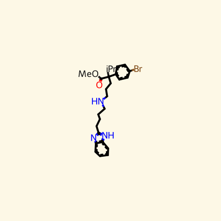 COC(=O)C(CCCNCCCCc1nc2ccccc2[nH]1)(c1ccc(Br)cc1)C(C)C